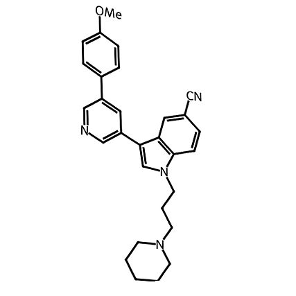 COc1ccc(-c2cncc(-c3cn(CCCN4CCCCC4)c4ccc(C#N)cc34)c2)cc1